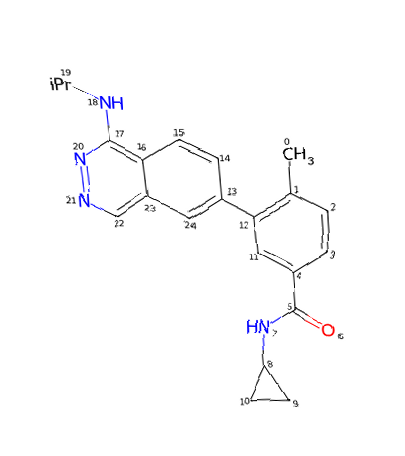 Cc1ccc(C(=O)NC2CC2)cc1-c1ccc2c(NC(C)C)nncc2c1